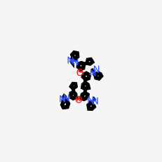 c1ccc2c(c1)ncn2-c1cc(Oc2cc(C3CCCC3)cc(-n3cnc4ccccc43)c2)cc(-c2ccc(-c3cc(Oc4cc(C5CCCC5)cc(-n5cnc6ccccc65)c4)cc(-n4cnc5ccccc54)c3)cc2)c1